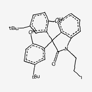 CC(C)(C)c1ccc(O)c(C2(c3cc(C(C)(C)C)ccc3O)C(=O)N(CCI)c3ccccc32)c1